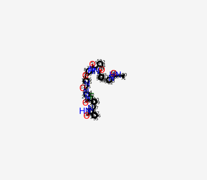 O=C(N[C@@H](C(=O)N1CCC(OC2CCN(CC(=O)N3CCN(C(=O)c4cc(Cc5n[nH]c(=O)c6ccccc56)ccc4F)CC3)CC2)CC1)C1CCCCC1)c1cccc([C@H]2CCCN(C(=O)CNC3CC3)C2)c1